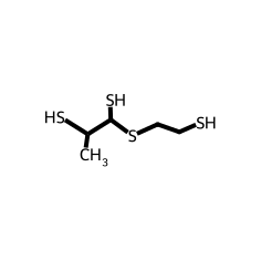 CC(S)C(S)SCCS